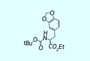 CCOC(=O)[C@H](Cc1ccc2c(c1)OCO2)NC(=O)OC(C)(C)C